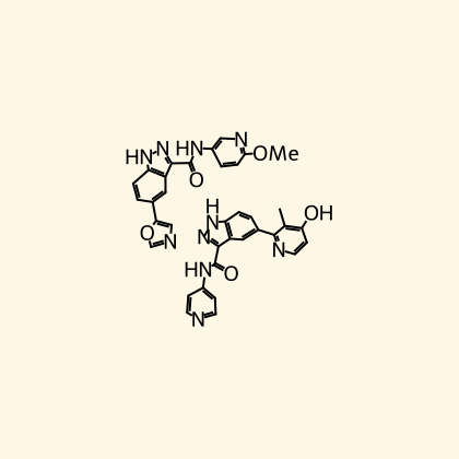 COc1ccc(NC(=O)c2n[nH]c3ccc(-c4cnco4)cc23)cn1.Cc1c(O)ccnc1-c1ccc2[nH]nc(C(=O)Nc3ccncc3)c2c1